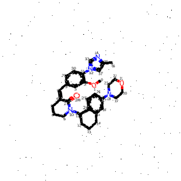 COc1cc(C=C2CCCN(C3CCCc4cc(N5CCOCC5)ccc43)C2=O)ccc1-n1cnc(C)c1